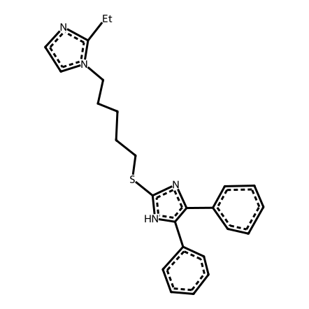 CCc1nccn1CCCCCSc1nc(-c2ccccc2)c(-c2ccccc2)[nH]1